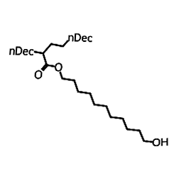 CCCCCCCCCCCCC(CCCCCCCCCC)C(=O)OCCCCCCCCCCCO